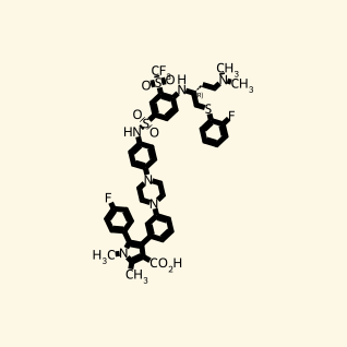 Cc1c(C(=O)O)c(-c2cccc(N3CCN(c4ccc(NS(=O)(=O)c5ccc(N[C@H](CCN(C)C)CSc6ccccc6F)c(S(=O)(=O)C(F)(F)F)c5)cc4)CC3)c2)c(-c2ccc(F)cc2)n1C